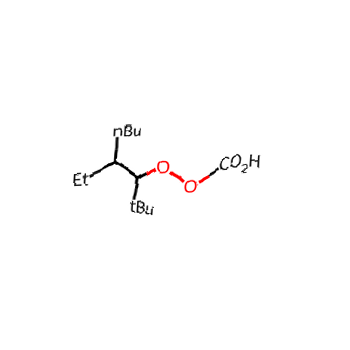 CCCCC(CC)C(OOC(=O)O)C(C)(C)C